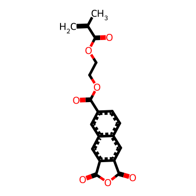 C=C(C)C(=O)OCCOC(=O)c1ccc2cc3c(cc2c1)C(=O)OC3=O